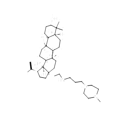 C=C(C)[C@@H]1CC[C@]2(CCNCCCN3CCN(C)CC3)CC[C@]3(C)[C@H](CC[C@@H]4[C@@]5(C)CC[C@H](O)C(C)(C)[C@@H]5CC[C@]43C)[C@@H]12